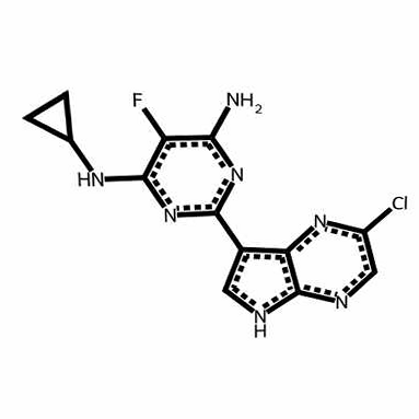 Nc1nc(-c2c[nH]c3ncc(Cl)nc23)nc(NC2CC2)c1F